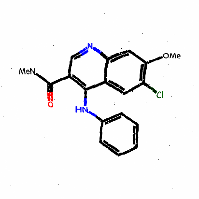 CNC(=O)c1cnc2cc(OC)c(Cl)cc2c1Nc1ccccc1